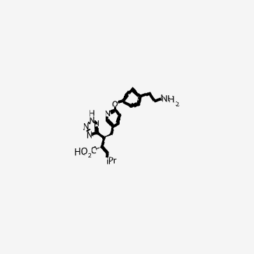 CC(C)C[C@H](C(=O)O)[C@H](Cc1ccc(Oc2ccc(CCN)cc2)nc1)c1nn[nH]n1